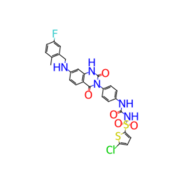 Cc1ccc(F)cc1CNc1ccc2c(=O)n(-c3ccc(NC(=O)NS(=O)(=O)c4ccc(Cl)s4)cc3)c(=O)[nH]c2c1